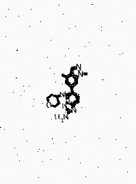 Cc1cc(-c2ccc3nc(N)nn3c2NC2CCOCC2)cc2c1cnn2C